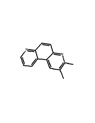 Cc1cc2c(ccc3ncccc32)nc1C